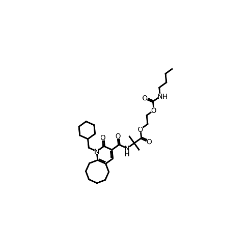 CCCCNC(=O)OCCOC(=O)C(C)(C)NC(=O)c1cc2c(n(CC3CCCCC3)c1=O)CCCCCC2